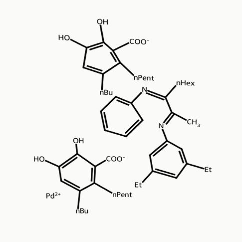 CCCCCCC(=Nc1ccccc1)C(C)=Nc1cc(CC)cc(CC)c1.CCCCCc1c(CCCC)cc(O)c(O)c1C(=O)[O-].CCCCCc1c(CCCC)cc(O)c(O)c1C(=O)[O-].[Pd+2]